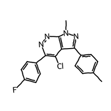 Cc1ccc(-c2nn(C)c3nnc(-c4ccc(F)cc4)c(Cl)c23)cc1